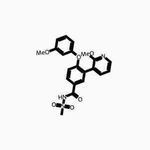 COc1cccc(Oc2ccc(C(=O)NS(C)(=O)=O)cc2-c2cccnc2OC)c1